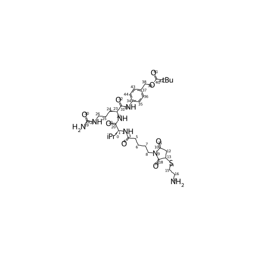 CC(C)[C@H](NC(=O)CCCCN1C(=O)CC(SCCN)C1=O)C(=O)N[C@@H](CCCNC(N)=O)C(=O)Nc1ccc(COC(=O)C(C)(C)C)cc1